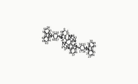 c1ccc2c(-c3c4nccnc4c(-c4sc(-c5ccc(-n6c7ccccc7c7ccccc76)cc5)c5ccccc45)c4nccnc34)sc(-c3ccc(-n4c5ccccc5c5ccccc54)cc3)c2c1